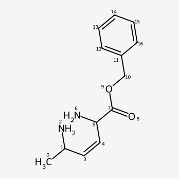 CC(N)/C=C\C(N)C(=O)OCc1ccccc1